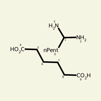 CCCCCC(N)N.O=C(O)CCCCC(=O)O